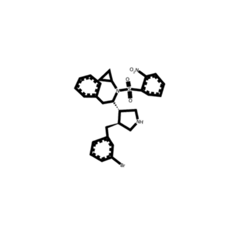 O=[N+]([O-])c1ccccc1S(=O)(=O)N(C1CC1)C(Cc1ccccc1)[C@@H]1CNC[C@H]1Cc1cccc(Br)c1